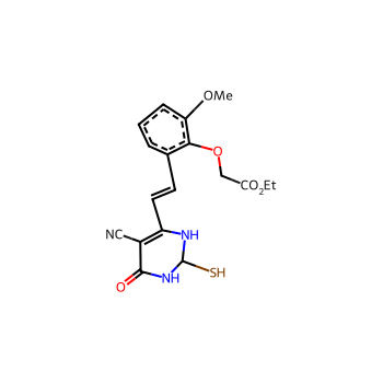 CCOC(=O)COc1c(/C=C/C2=C(C#N)C(=O)NC(S)N2)cccc1OC